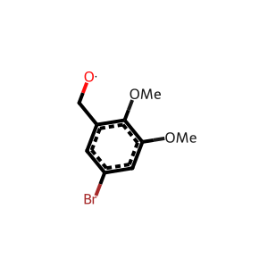 COc1cc(Br)cc(C[O])c1OC